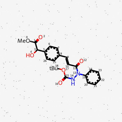 COC(=O)C(O)c1ccc(C=CC(=O)N(NC(=O)OC(C)(C)C)c2ccccc2)cc1